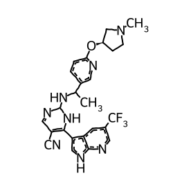 CC(NC1N=CC(C#N)=C(c2c[nH]c3ncc(C(F)(F)F)cc23)N1)c1ccc(O[C@@H]2CCN(C)C2)nc1